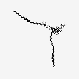 CCCCCCCCCCCCCCCCCCCC(=O)OC[C@@H](COP(=O)([O-])OCC[N+](C)(C)C)OC(=O)CCCCCCCCCCCCCCCCCCC